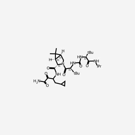 CC(C)NC(=O)[C@@H](NC(=O)N[C@H](C(=O)N1C[C@H]2[C@@H]([C@H]1C(=O)NC(CC1CC1)C(=O)C(N)=O)C2(C)C)C(C)(C)C)C(C)(C)C